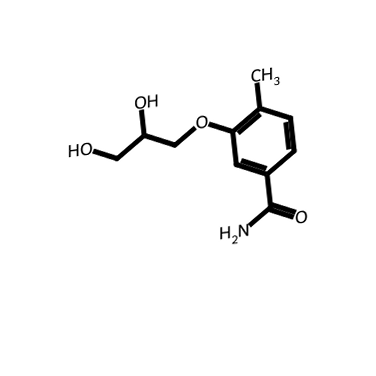 Cc1ccc(C(N)=O)cc1OCC(O)CO